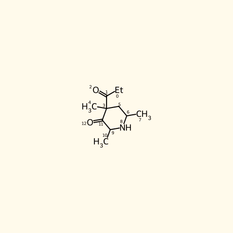 CCC(=O)C1(C)CC(C)NC(C)C1=O